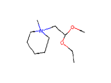 CCOC(C[N+]1(C)CCCCC1)OC